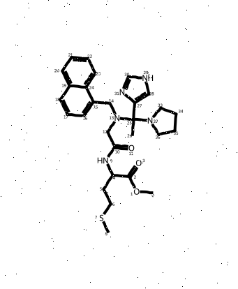 COC(=O)C(CCSC)NC(=O)CN(Cc1cccc2ccccc12)C(C)(c1c[nH]cn1)N1CCCC1